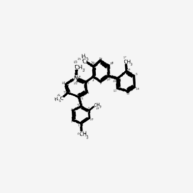 Cc1ccc(-c2cc(-c3cc(-c4ccccc4C)ccc3C)[n+](C)cc2C)c(C)c1